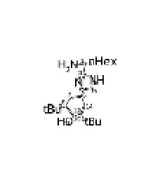 CCCCCC[C@@H](N)c1nc(-c2cc(C(C)(C)C)c(O)c(C(C)(C)C)c2)c[nH]1